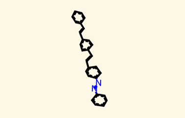 C(=Cc1ccc(C=Cc2ccc(N=Nc3ccccc3)cc2)cc1)c1ccccc1